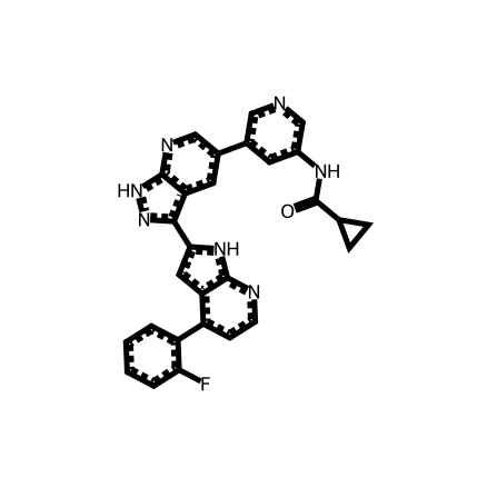 O=C(Nc1cncc(-c2cnc3[nH]nc(-c4cc5c(-c6ccccc6F)ccnc5[nH]4)c3c2)c1)C1CC1